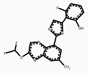 Cc1cc(-c2ncc(-c3c(O)cccc3F)s2)c2ncc(OC(F)F)nc2c1